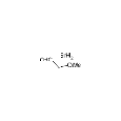 COCC=O.[SrH2]